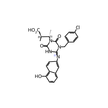 C[C@@H](C(=O)O)[C@H](C)n1c(=O)[nH]/c(=N\c2ccc3c(O)cccc3c2)n(Cc2ccc(Cl)cc2)c1=O